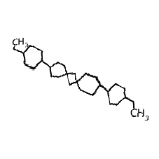 CCC1CCC(C2CCC3(CC2)CC2(CCC(C4CCC(CC)CC4)CC2)C3)CC1